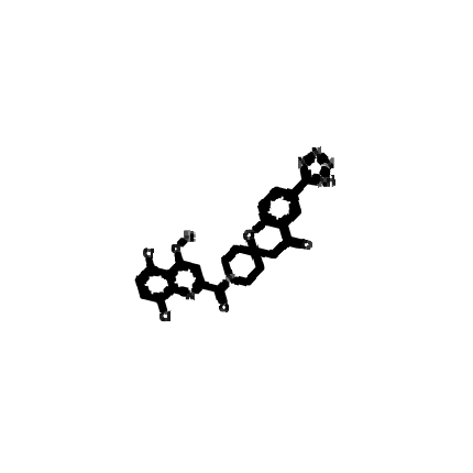 CCOc1cc(C(=O)N2CCC3(CC2)CC(=O)c2cc(-c4nnn[nH]4)ccc2O3)nc2c(Cl)ccc(Cl)c12